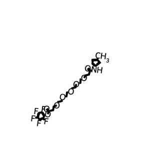 Cc1ccc(NC(=O)CCOCCOCCOCCOCCOCCC(=O)Oc2c(F)c(F)c(F)c(F)c2F)cc1